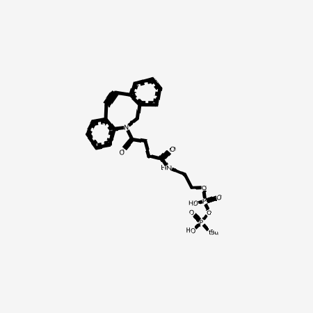 CC(C)(C)P(=O)(O)OP(=O)(O)OCCNC(=O)CCC(=O)N1Cc2ccccc2C#Cc2ccccc21